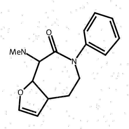 CNC1C(=O)N(c2ccccc2)CCC2C=COC21